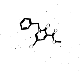 COC(=O)c1cc(Cl)cn(Cc2ccccc2)c1=O